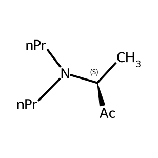 CCCN(CCC)[C@@H](C)C(C)=O